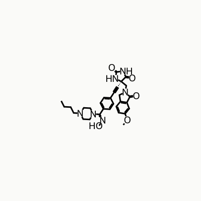 CCCCN1CCN(C(=NO)c2ccc(C#C[C@]3(CN4Cc5ccc(OC)cc5C4=O)NC(=O)NC3=O)cc2)CC1